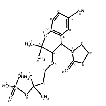 CC(C)(CCOC1C(N2CCCC2=O)c2cc(C#N)ccc2OC1(C)C)OP(=O)(O)O